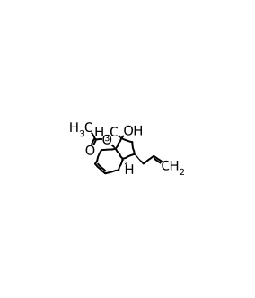 C=CC[C@@H]1C[C@@](C)(O)[C@@]2(OC(C)=O)CC=CC[C@H]12